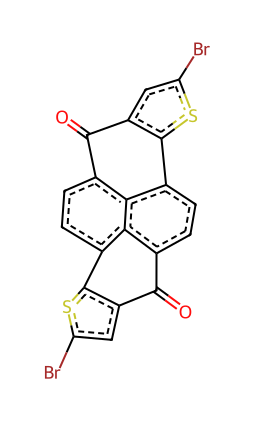 O=C1c2cc(Br)sc2-c2ccc3c4c(ccc1c24)-c1sc(Br)cc1C3=O